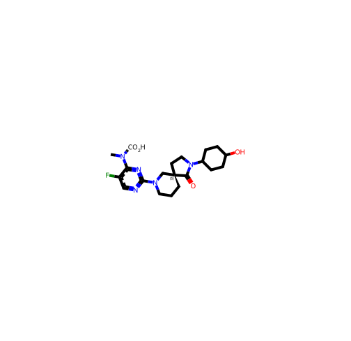 CN(C(=O)O)c1nc(N2CCC[C@]3(CCN(C4CCC(O)CC4)C3=O)C2)ncc1F